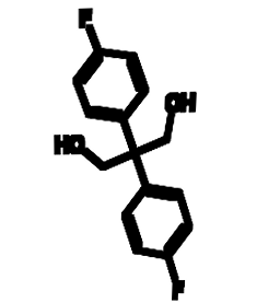 OCC(CO)(c1ccc(F)cc1)c1ccc(F)cc1